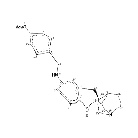 COc1ccc(CNc2cnc3c(c2)C[C@@]2(CN4CCC2CC4)O3)cc1